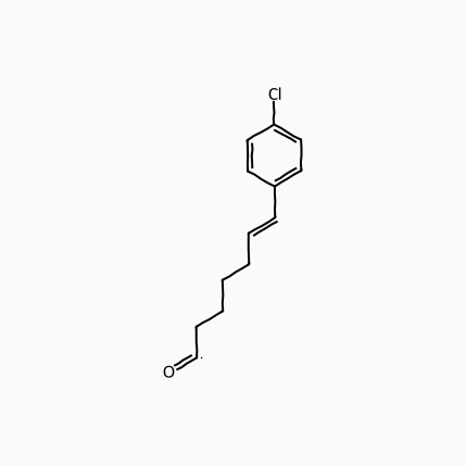 O=[C]CCCCC=Cc1ccc(Cl)cc1